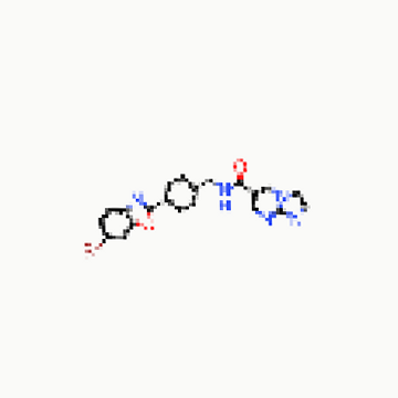 O=C(NCc1ccc(-c2nc3ccc(Br)cc3o2)cc1)c1cnc2nccn2c1